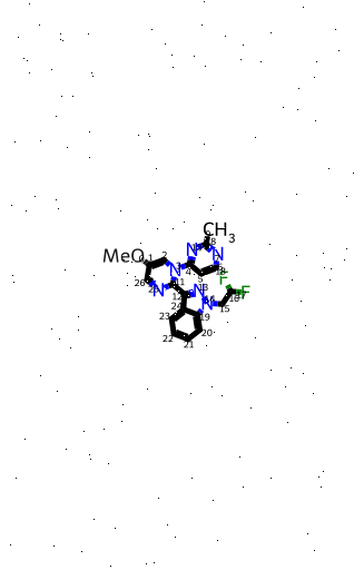 COC1=CN(c2ccnc(C)n2)C(c2nn(CC(F)F)c3ccccc23)N=C1